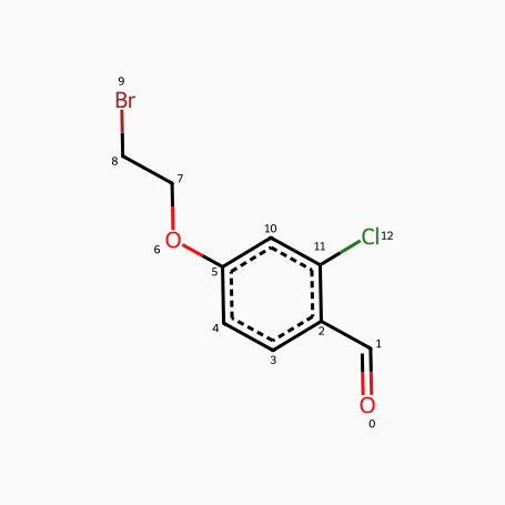 O=Cc1ccc(OCCBr)cc1Cl